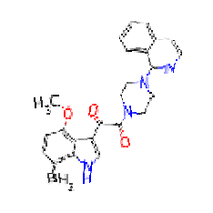 Bc1ccc(OC)c2c(C(=O)C(=O)N3CCN(c4nccc5ccccc45)CC3)c[nH]c12